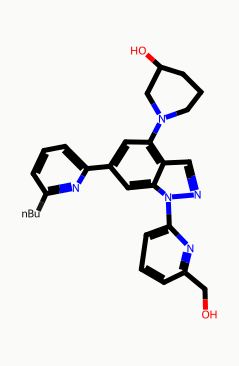 CCCCc1cccc(-c2cc(N3CCCC(O)C3)c3cnn(-c4cccc(CO)n4)c3c2)n1